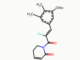 COc1cc(C=C(F)C(=O)N2CCC=CC2=O)cc(C)c1C